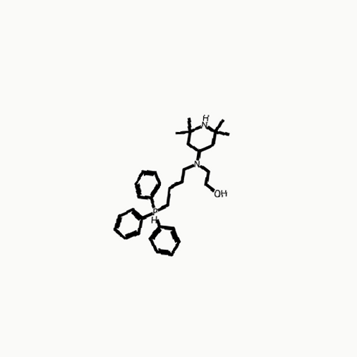 CC1(C)CC(N(CCO)CCCC[PH](c2ccccc2)(c2ccccc2)c2ccccc2)CC(C)(C)N1